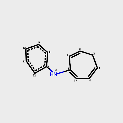 C1=CCC=CC(Nc2ccccc2)=C1